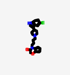 O=C1COc2ccccc2N1CCCCN1CCC(c2c[nH]c3ccc(Cl)cc23)CC1